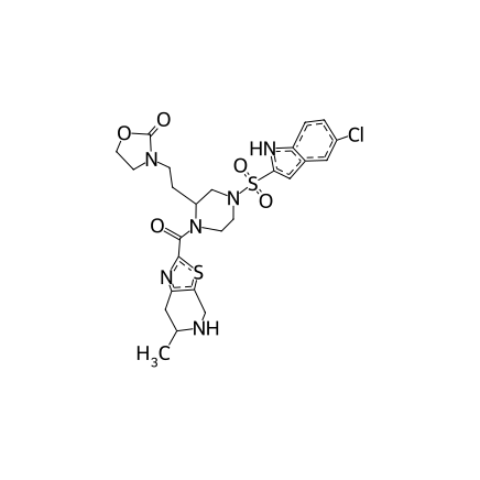 CC1Cc2nc(C(=O)N3CCN(S(=O)(=O)c4cc5cc(Cl)ccc5[nH]4)CC3CCN3CCOC3=O)sc2CN1